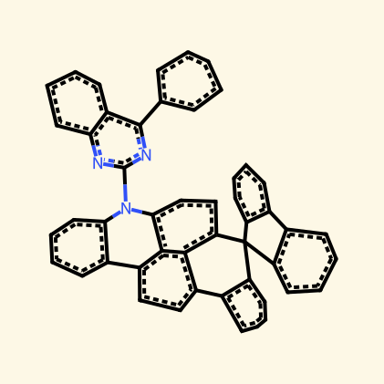 c1ccc(-c2nc(N3c4ccccc4-c4ccc5c6c(ccc3c46)C3(c4ccccc4-c4ccccc43)c3ccccc3-5)nc3ccccc23)cc1